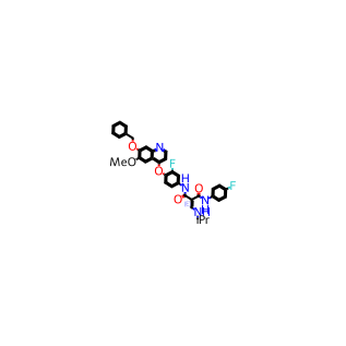 COc1cc2c(Oc3ccc(NC(=O)/C(=C/NC(C)C)C(=O)Nc4ccc(F)cc4)cc3F)ccnc2cc1OCc1ccccc1